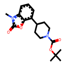 Cn1c(=O)oc2c(C3CCN(C(=O)OC(C)(C)C)CC3)cccc21